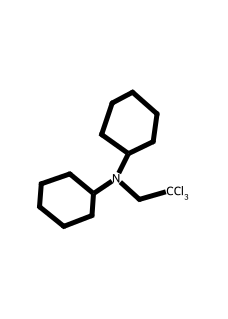 ClC(Cl)(Cl)CN(C1CCCCC1)C1CCCCC1